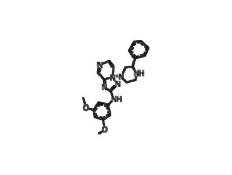 COc1cc(NC2=N[N+]3(N4CCNC(c5ccccc5)C4)C=CN=CC3=N2)cc(OC)c1